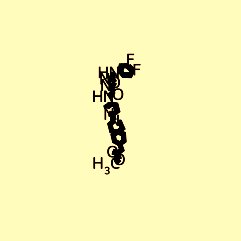 COC(=O)CC1CCC2(CC1)CCN(c1ccc(NC(=O)c3nnc(Nc4ccc(F)c(F)c4)o3)cn1)CC2